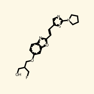 OCC(CF)COc1ccc2nc(/C=C/c3cnc(N4CCCC4)s3)oc2c1